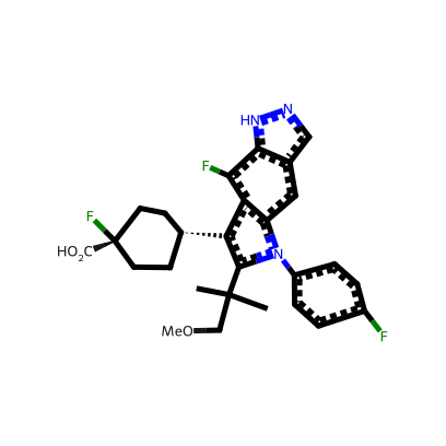 COCC(C)(C)c1c([C@H]2CC[C@](F)(C(=O)O)CC2)c2c(F)c3[nH]ncc3cc2n1-c1ccc(F)cc1